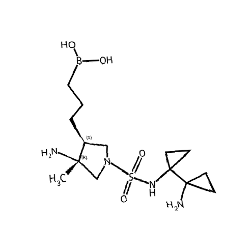 C[C@]1(N)CN(S(=O)(=O)NC2(C3(N)CC3)CC2)C[C@@H]1CCCB(O)O